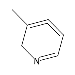 CC1=C=CC=NC1